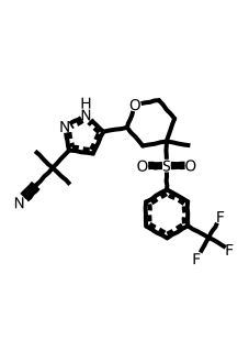 CC(C)(C#N)c1cc(C2CC(C)(S(=O)(=O)c3cccc(C(F)(F)F)c3)CCO2)[nH]n1